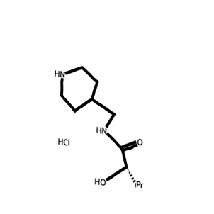 CC(C)[C@H](O)C(=O)NCC1CCNCC1.Cl